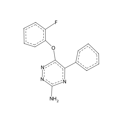 Nc1nnc(Oc2ccccc2F)c(-c2ccccc2)n1